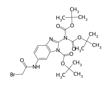 CC(C)(C)OC(=O)N(C(=O)OC(C)(C)C)c1nc2ccc(NC(=O)CBr)cc2n1C(=O)OC(C)(C)C